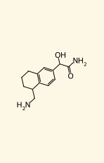 NCC1CCCc2cc(C(O)C(N)=O)ccc21